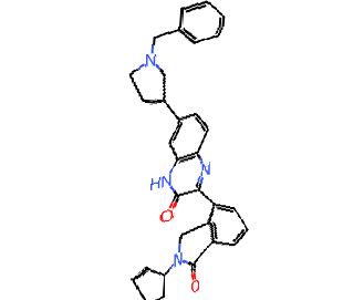 O=C1c2cccc(-c3nc4ccc(C5CCN(Cc6ccccc6)C5)cc4[nH]c3=O)c2CN1C1CCCC1